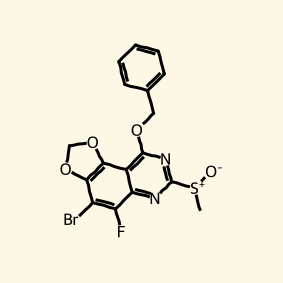 C[S+]([O-])c1nc(OCc2ccccc2)c2c3c(c(Br)c(F)c2n1)OCO3